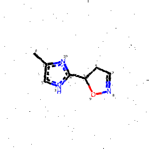 Cc1c[nH]c(C2C[C]=NO2)n1